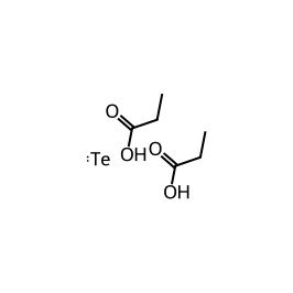 CCC(=O)O.CCC(=O)O.[Te]